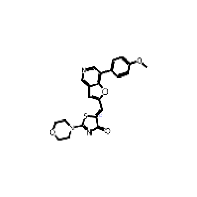 COc1ccc(-c2cncc3cc(/C=C4\SC(N5CCOCC5)=NC4=O)oc23)cc1